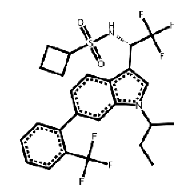 CCC(C)n1cc([C@H](NS(=O)(=O)C2CCC2)C(F)(F)F)c2ccc(-c3ccccc3C(F)(F)F)cc21